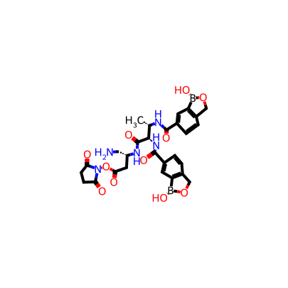 C[C@H](NC(=O)c1ccc2c(c1)B(O)OC2)[C@H](NC(=O)c1ccc2c(c1)B(O)OC2)C(=O)N[C@@H](CN)CC(=O)ON1C(=O)CCC1=O